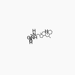 C=C(NCCC1CCC2C3C[C@H](C)C4CCCCC4(C)[C@H]3CCC12C)N[SH](=O)=O